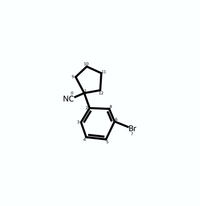 N#CC1(c2cccc(Br)c2)CCCC1